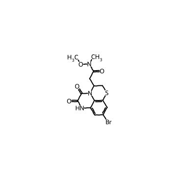 CON(C)C(=O)CC1CSc2cc(Br)cc3[nH]c(=O)c(=O)n1c23